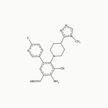 Cn1cnnc1C1CCN(c2c(-c3ccc(F)nc3)cc(C=N)c(N)c2C#N)CC1